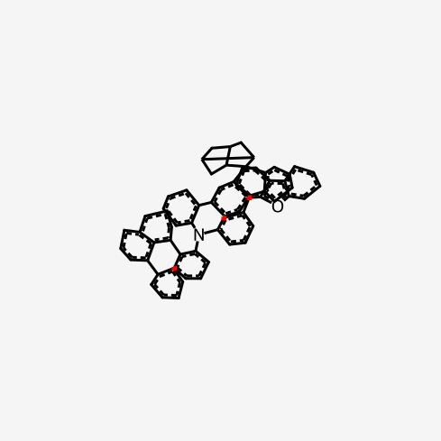 c1ccc(-c2cccc3cccc(-c4ccccc4N(c4cccc(-c5cccc6c5oc5ccccc56)c4)c4ccccc4-c4ccc5c(c4)C4(c6ccccc6-5)C5CC6CC5CC64)c23)cc1